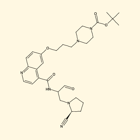 CC(C)(C)OC(=O)N1CCN(CCCOc2ccc3nccc(C(=O)NC(C=O)CN4CCC[C@H]4C#N)c3c2)CC1